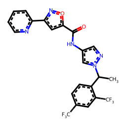 CC(c1ccc(C(F)(F)F)cc1C(F)(F)F)n1cc(NC(=O)c2cc(-c3ccccn3)no2)cn1